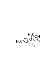 Cc1ccc(OCC(C)(C)O)c(C)c1